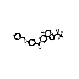 CN1CCn2c(C(=O)C(F)(F)F)ccc2C12CCN(C(=O)c1ccc(OCc3ccccc3)cc1)CC2